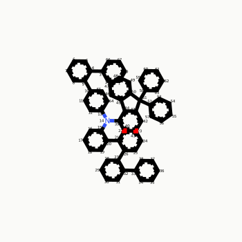 c1ccc(-c2ccccc2-c2ccc(N(c3ccccc3-c3ccccc3-c3ccccc3-c3ccccc3)c3cccc4c3-c3ccccc3C4(c3ccccc3)c3ccccc3)cc2)cc1